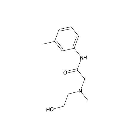 Cc1cccc(NC(=O)CN(C)CCO)c1